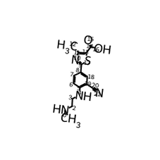 CNCCNc1ccc(-c2nc(C)c(C(=O)O)s2)cc1C#N